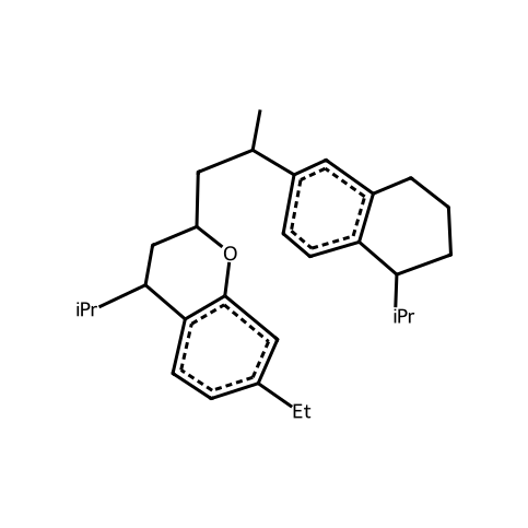 CCc1ccc2c(c1)OC(CC(C)c1ccc3c(c1)CCCC3C(C)C)CC2C(C)C